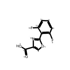 O=C(O)c1coc(-c2c(F)cccc2F)n1